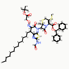 CCCCCCCCCCCCCC(/C(=N/OCC(=O)OC(C)(C)C)C(=O)NC1C(=O)N2C(C(=O)OC(c3ccccc3)c3ccccc3)=C(SC)CS[C@@H]12)c1csc(NC=O)n1